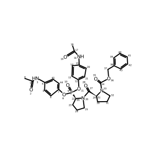 CC(=O)Nc1ccc(OP(=O)(Oc2ccc(NC(C)=O)cc2)[C@@H]2CCCN2C(=O)[C@@H]2CCCN2C(=O)OCc2ccccc2)cc1